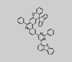 c1ccc(-c2nc(-c3ccc4nc(-c5ccccc5)c5cc6c(cc5c4c3)C3(c4ccccc4O6)c4ccccc4-c4ccccc43)cc(-c3cccc4c3sc3ccccc34)n2)cc1